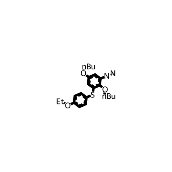 CCCCOc1cc([N+]#N)c(OCCCC)c(Sc2ccc(OCC)cc2)c1